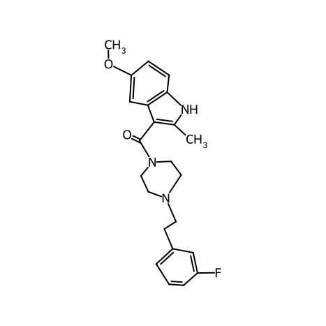 COc1ccc2[nH]c(C)c(C(=O)N3CCN(CCc4cccc(F)c4)CC3)c2c1